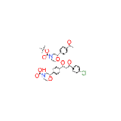 CC(=O)c1ccc(C2CN(C(=O)OC(C)(C)C)CCO2)cc1.O=C(CC(=O)c1ccc(C2CN(C(=O)O)CCO2)cc1)c1ccc(Cl)cc1